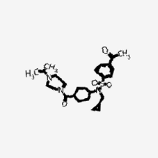 CC(=O)c1ccc(S(=O)(=O)N(CC2CC2)C2CCC(C(=O)N3CCN(C(C)C)CC3)CC2)cc1